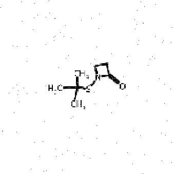 CC(C)(C)SN1CCC1=O